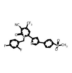 CS(=O)(=O)c1ccc(-c2csc(-c3cc(C(F)(F)F)c(C#N)c(=O)n3Cc3ccc(F)cc3F)c2)cc1